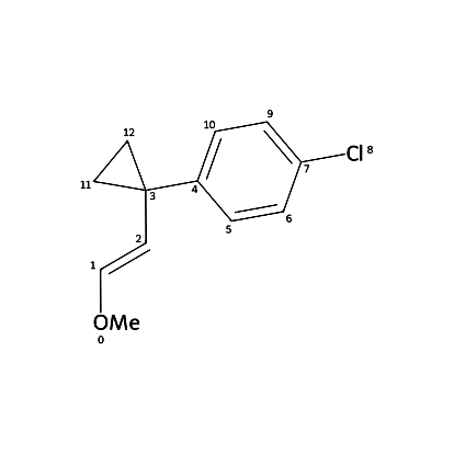 COC=CC1(c2ccc(Cl)cc2)CC1